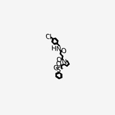 O=C(CCC(=O)N1CCCC1C(=O)C[S+]([O-])c1ccccc1)NCc1ccc(Cl)cc1